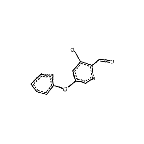 O=Cc1ncc(Oc2ccccc2)cc1Cl